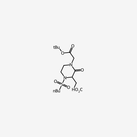 CCCCS(=O)(=O)N1CCN(CC(=O)OC(C)(C)C)C(=O)C1CC(=O)O